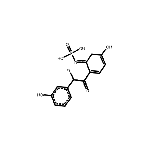 CCC(C(=O)C1=CC=C(O)CC1=NP(=O)(O)O)c1cccc(O)c1